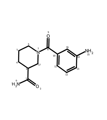 NC(=O)C1CCCN(C(=O)c2cccc(N)c2)C1